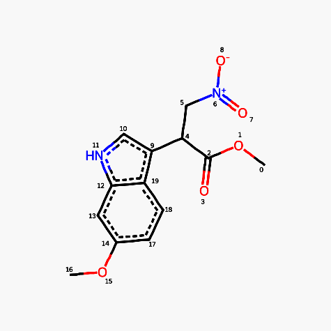 COC(=O)C(C[N+](=O)[O-])c1c[nH]c2cc(OC)ccc12